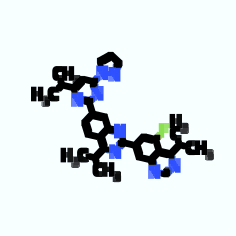 CC(C)c1cc(-n2cccn2)nc(-c2ccc3c(C(C)C)nc(-c4cc(F)c5c(C(C)C)ncnc5c4)nc3c2)n1